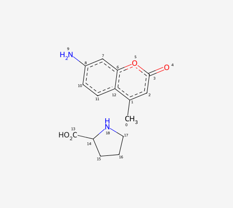 Cc1cc(=O)oc2cc(N)ccc12.O=C(O)C1CCCN1